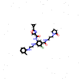 Cc1ccccc1NCCNc1cc(Cl)c(C(=O)NCCCN2CCCC2=O)cc1NC(=O)c1coc(C2CC2)n1